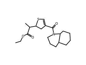 CCOC(=O)C(C)C1CC(C(=O)N2CCCC3CCCCC32)=CS1